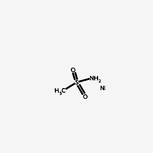 CS(N)(=O)=O.[N]